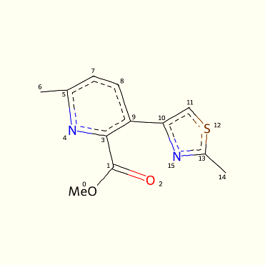 COC(=O)c1nc(C)ccc1-c1csc(C)n1